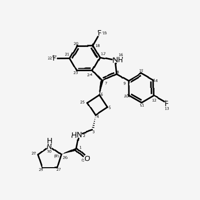 O=C(NC[C@H]1C[C@H](c2c(-c3ccc(F)cc3)[nH]c3c(F)cc(F)cc32)C1)[C@H]1CCCN1